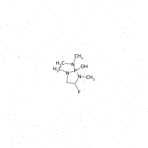 CN(C)[P]1(O)N(C)CC(F)N1C